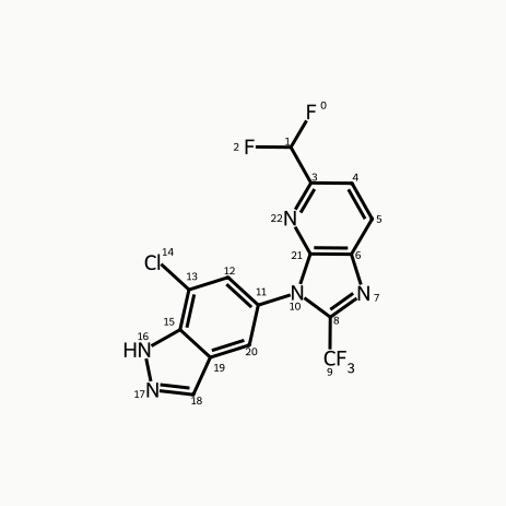 FC(F)c1ccc2nc(C(F)(F)F)n(-c3cc(Cl)c4[nH]ncc4c3)c2n1